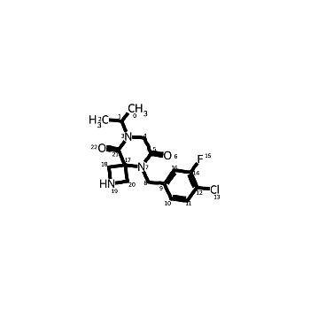 CC(C)N1CC(=O)N(Cc2ccc(Cl)c(F)c2)C2(CNC2)C1=O